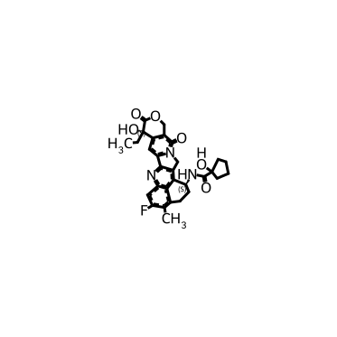 CC[C@@]1(O)C(=O)OCc2c1cc1n(c2=O)Cc2c-1nc1cc(F)c(C)c3c1c2[C@@H](NC(=O)C1(O)CCCC1)CC3